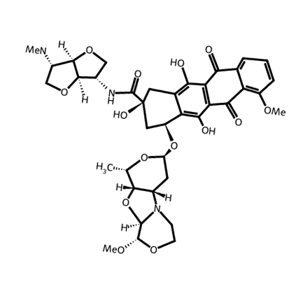 CN[C@H]1CO[C@H]2[C@@H]1OC[C@@H]2NC(=O)[C@]1(O)Cc2c(O)c3c(c(O)c2[C@@H](O[C@H]2C[C@H]4[C@H](O[C@@H]5[C@@H](OC)OCCN54)[C@H](C)O2)C1)C(=O)c1c(OC)cccc1C3=O